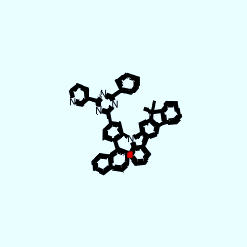 CC1(C)c2ccccc2-c2cc3c4ccccc4n(-c4cc(-c5nc(-c6ccccc6)nc(-c6cccnc6)n5)ccc4-c4cccc5ccccc45)c3cc21